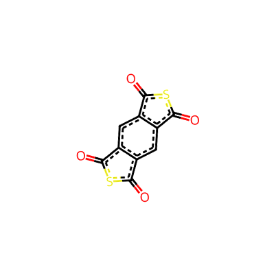 O=c1sc(=O)c2cc3c(=O)sc(=O)c3cc12